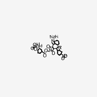 Cn1cc(C2=C(c3cn(C)c4cc([N+](=O)[O-])ccc34)C(=O)N(COC(=O)c3ccc(OP(=O)(O)O)cc3)C2=O)c2ccccc21.[NaH]